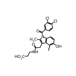 Cc1c(CC(=O)NCCC(=O)O)c2c(F)c(O)ccc2n1C(=O)c1ccc(Cl)c(Cl)c1